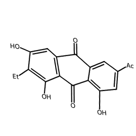 CCc1c(O)cc2c(c1O)C(=O)c1c(O)cc(C(C)=O)cc1C2=O